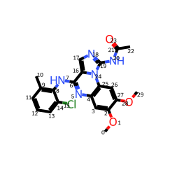 COc1cc2nc(Nc3c(C)cccc3Cl)c3cnc(NC(C)=O)n3c2cc1OC